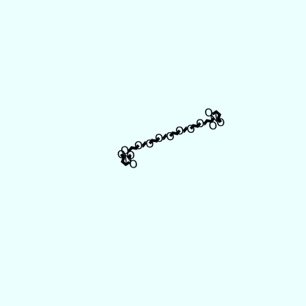 O=C(CCOCCOCCOCCOCCOCCOCCOCCC(=O)N1C(=O)CCC1=O)ON1C(=O)CCC1=O